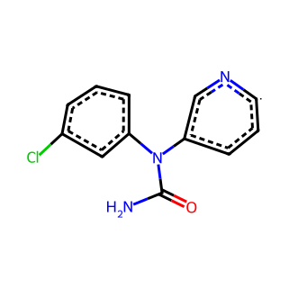 NC(=O)N(c1cc[c]nc1)c1cccc(Cl)c1